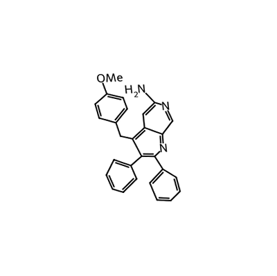 COc1ccc(Cc2c(-c3ccccc3)c(-c3ccccc3)nc3cnc(N)cc23)cc1